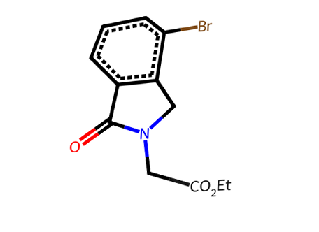 CCOC(=O)CN1Cc2c(Br)cccc2C1=O